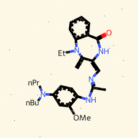 C=C1/C(=C\N=C(/C)Nc2ccc(N(CCC)CCCC)cc2OC)NC(=O)c2ccccc2N1CC